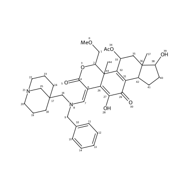 COCC1OC(=O)C(=CN(Cc2ccccc2)CC23CCCN(CCC2)C3)C2=C(O)C(=O)C3=C(C(OC(C)=O)CC4(C)C(O)CCC34)C21C